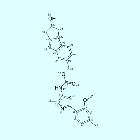 COc1cc(C)ccc1-c1nc(C)c(NC(=O)OCc2ccc3c(c2)nc2n3CC(O)C2)s1